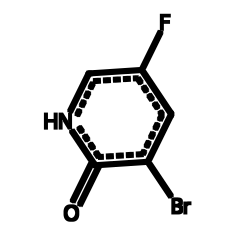 O=c1[nH]cc(F)cc1Br